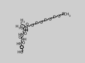 COCCOCCOCCOCCOCCOCCOCCOCCC(=O)NC(CC(C)C)C(=O)NCC(=O)NCC(=O)NCC(=O)Nc1ccc(CO)cc1